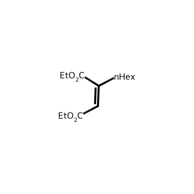 CCCCCCC(=CC(=O)OCC)C(=O)OCC